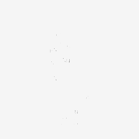 CC(C)(C)OC(=O)N1CCOc2ccc(-c3cnc4nc(NC(=O)OCc5ccccc5)[nH]c4c3)cc2C1